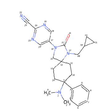 CN(C)C1(c2ccccc2)CCC2(CC1)CN(c1cnc(C#N)nc1)C(=O)N2CC1CC1